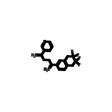 C=C(CCC(=C)c1ccc2c(c1)CC(F)(F)C(F)(F)C2)c1cccnc1